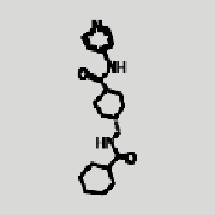 O=C(NC[C@H]1CC[C@H](C(=O)Nc2ccncc2)CC1)C1CCCCC1